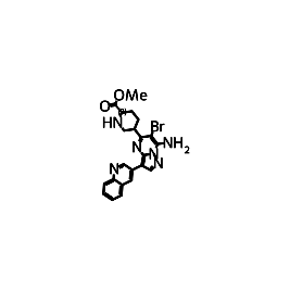 COC(=O)[C@H]1CCC(c2nc3c(-c4cnc5ccccc5c4)cnn3c(N)c2Br)CN1